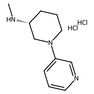 CN[C@@H]1CCCN(c2cccnc2)C1.Cl.Cl